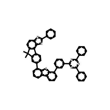 CC1(C)c2cc(-c3cccc4c3sc3c(-c5cccc(-c6nc(-c7ccccc7)nc(-c7ccccc7)n6)c5)cccc34)ccc2-c2c1ccc1nc(-c3ccccc3)sc21